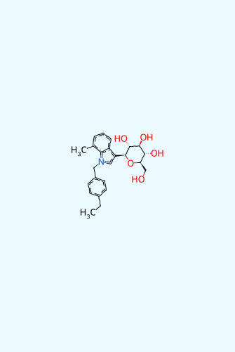 CCc1ccc(Cn2cc([C@@H]3O[C@H](CO)[C@@H](O)[C@H](O)[C@H]3O)c3cccc(C)c32)cc1